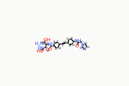 N[C@@H](O)[C@H](NC(=O)c1ccc(C#Cc2ccc(NC(=O)Cn3ccnc3)cc2)cc1)C(=O)NO